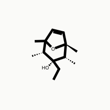 CC[C@@]1(O)[C@H](C)C2(C)C=C[C@@](C)(O2)[C@@H]1C